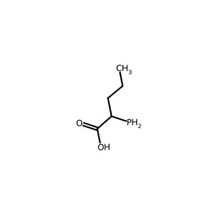 CCCC(P)C(=O)O